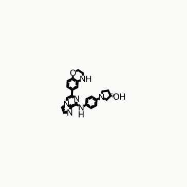 O[C@H]1CCN(c2ccc(Nc3nc(-c4ccc5c(c4)NCCO5)cn4ccnc34)cc2)C1